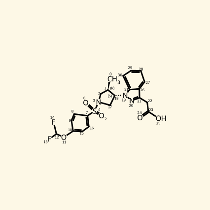 C[C@@H]1CN(S(=O)(=O)c2ccc(OC(F)F)cc2)C[C@H]1n1nc(CC(=O)O)c2ccccc21